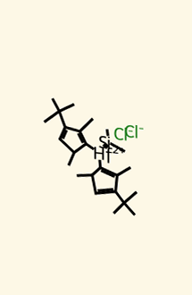 CC1=[C]([Hf+2]([C]2=C(C)C(C(C)(C)C)=CC2C)=[Si](C)C)C(C)C=C1C(C)(C)C.[Cl-].[Cl-]